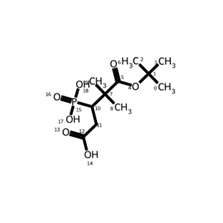 CC(C)(C)OC(=O)C(C)(C)C(CC(=O)O)P(=O)(O)O